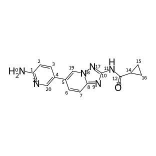 Nc1ccc(-c2ccc3nc(NC(=O)C4CC4)nn3c2)cn1